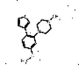 COc1ccc(-c2ccsc2)c(N2CCN(C)CC2)c1